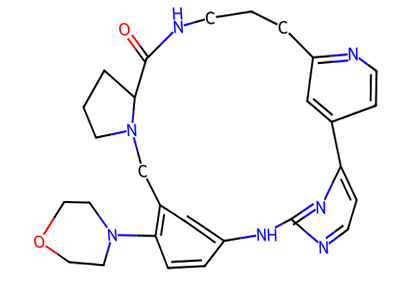 O=C1NCCCc2cc(ccn2)-c2ccnc(n2)Nc2ccc(N3CCOCC3)c(c2)CN2CCCC12